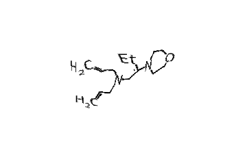 C=CCN(CC=C)C[C](CC)N1CCOCC1